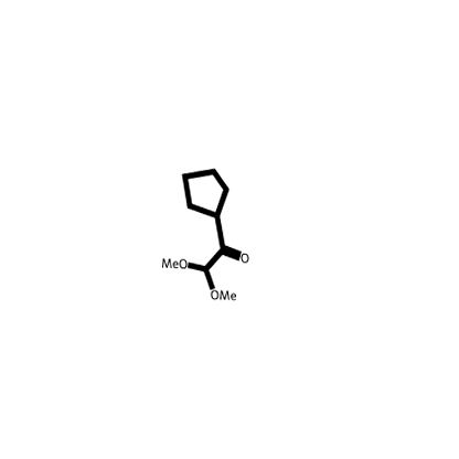 COC(OC)C(=O)C1CCCC1